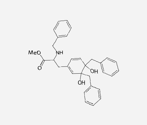 COC(=O)C(CC1=CC(O)(Cc2ccccc2)C(O)(Cc2ccccc2)C=C1)NCc1ccccc1